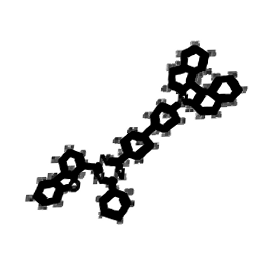 C1=C(c2nc(-c3ccccc3)nc(-c3ccc(-c4ccc(-n5c6ccc7ccccc7c6c6c7ccccc7ccc65)cc4)cc3)n2)c2oc3ccccc3c2CC1